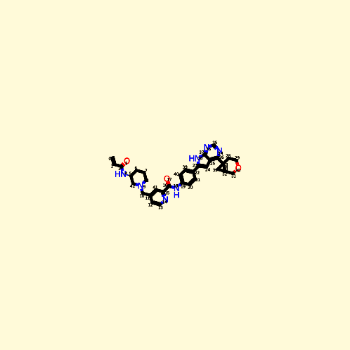 C=CC(=O)N[C@@H]1CCCN(Cc2ccnc(C(=O)Nc3ccc(-c4cc5c(C67CCOC[C@@H]6C7)ncnc5[nH]4)cc3)c2)C1